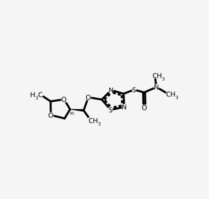 CC1OC[C@H](C(C)Oc2nc(SC(=O)N(C)C)ns2)O1